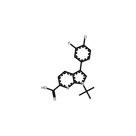 CC(C)(C)n1cc(-c2ccc(Cl)c(F)c2)c2ccc(C(=O)O)nc21